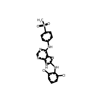 CS(=O)(=O)c1ccc(Nc2ncnc3[nH]c(Nc4c(Cl)cccc4Cl)nc23)cc1